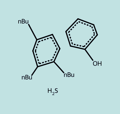 CCCCc1ccc(CCCC)c(CCCC)c1.Oc1ccccc1.S